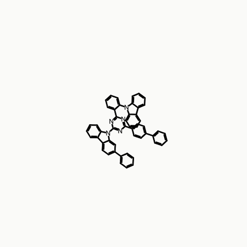 c1ccc(-c2ccc(-c3nc(-c4ccccc4-n4c5ccccc5c5ccccc54)nc(-n4c5ccccc5c5ccc(-c6ccccc6)cc54)n3)cc2)cc1